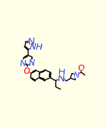 CCC(NCC1CN(C(C)=O)C1)c1ccc2cc(Oc3ncc(-c4ccn[nH]4)cn3)ccc2c1